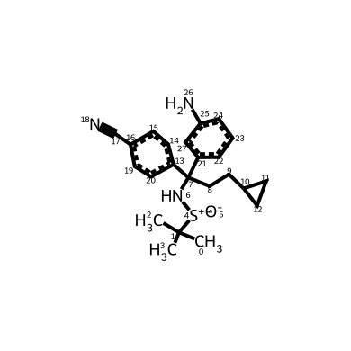 CC(C)(C)[S@@+]([O-])NC(CCC1CC1)(c1ccc(C#N)cc1)c1cccc(N)c1